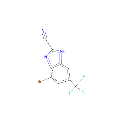 N#Cc1nc2c(Br)cc(C(F)(F)F)cc2[nH]1